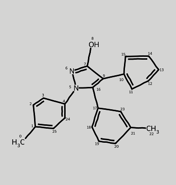 Cc1ccc(-n2nc(O)c(-c3ccccc3)c2-c2cccc(C)c2)cc1